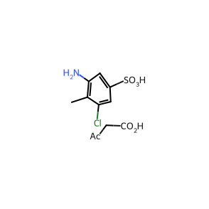 CC(=O)CC(=O)O.Cc1c(N)cc(S(=O)(=O)O)cc1Cl